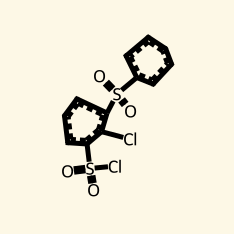 O=S(=O)(Cl)c1cccc(S(=O)(=O)c2ccccc2)c1Cl